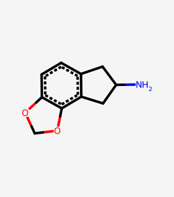 NC1Cc2ccc3c(c2C1)OCO3